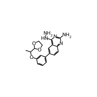 CC(Oc1cccc(-c2ccc3nc(N)nc(NN)c3c2)c1)C1OCCO1